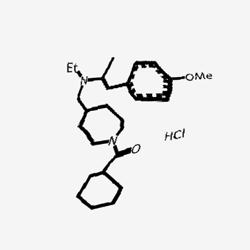 CCN(CC1CCN(C(=O)C2CCCCC2)CC1)C(C)Cc1ccc(OC)cc1.Cl